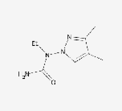 CCN(C(N)=O)n1cc(C)c(C)n1